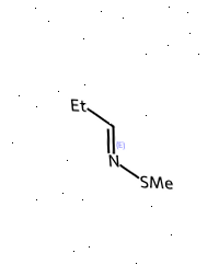 CC/C=N/SC